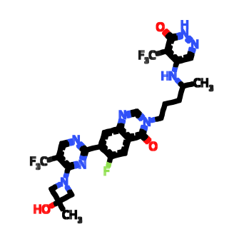 CC(CCCn1cnc2cc(-c3ncc(C(F)(F)F)c(N4CC(C)(O)C4)n3)c(F)cc2c1=O)Nc1cn[nH]c(=O)c1C(F)(F)F